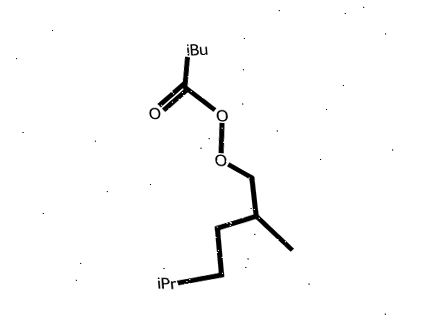 CCC(C)C(=O)OOCC(C)CCC(C)C